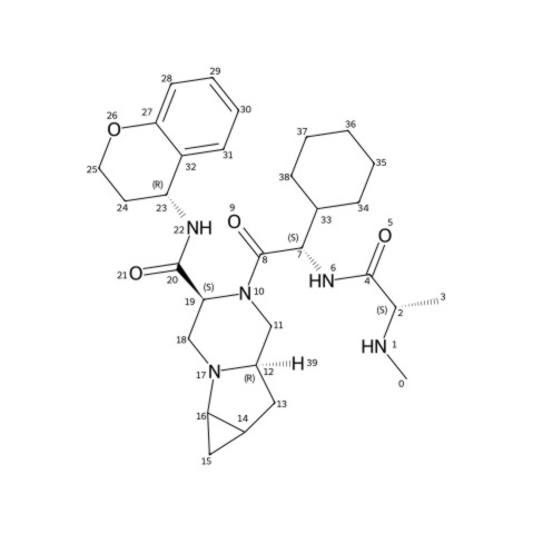 CN[C@@H](C)C(=O)N[C@H](C(=O)N1C[C@H]2CC3CC3N2C[C@H]1C(=O)N[C@@H]1CCOc2ccccc21)C1CCCCC1